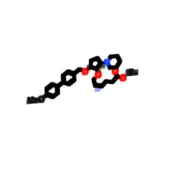 COc1ccc(-c2ccc(CO[C@H]3CC[C@@H](N4CCCCC4)[C@@H]3OC/C=C\CCC(=O)OC(C)(C)C)cc2)cc1